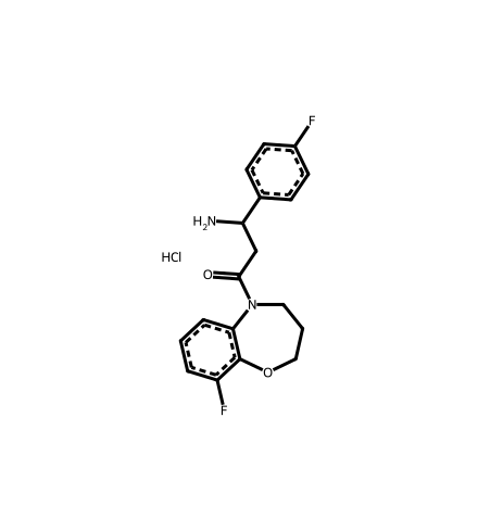 Cl.NC(CC(=O)N1CCCOc2c(F)cccc21)c1ccc(F)cc1